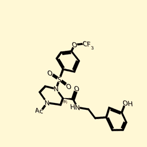 CC(=O)N1CCN(S(=O)(=O)c2ccc(OC(F)(F)F)cc2)[C@@H](C(=O)NCCc2cccc(O)c2)C1